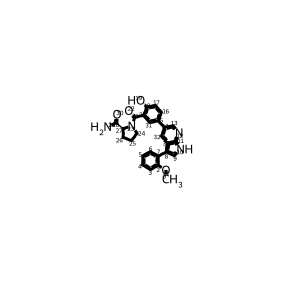 COc1ccccc1-c1c[nH]c2ncc(-c3ccc(O)c(C(=O)N4CCC[C@H]4C(N)=O)c3)cc12